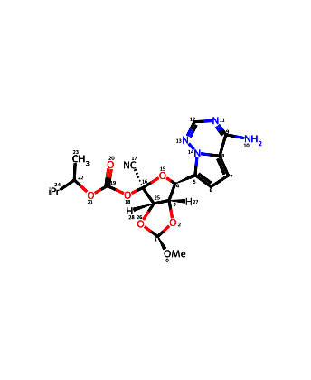 CO[C@@H]1O[C@H]2[C@H](c3ccc4c(N)ncnn34)O[C@](C#N)(OC(=O)OC(C)C(C)C)[C@H]2O1